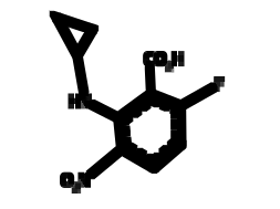 O=C(O)c1c(F)ccc([N+](=O)[O-])c1NC1CC1